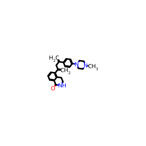 C=C(CC(=C)c1cccc2c1CCNC2=O)c1ccc(N2CCN(C)CC2)cc1